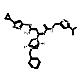 C=C(/N=C(\C=C(/N)Nc1cc(C2CC2)[nH]n1)N1C[C@H]2C[C@@H]1CN2Cc1ccccc1)NCc1cc(C(C)C)no1